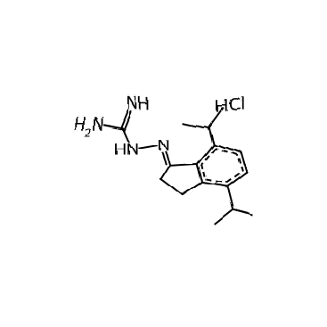 CC(C)c1ccc(C(C)C)c2c1CCC2=NNC(=N)N.Cl